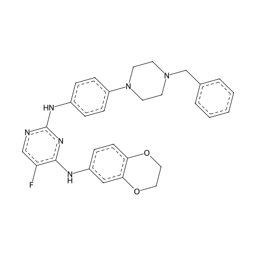 Fc1cnc(Nc2ccc(N3CCN(Cc4ccccc4)CC3)cc2)nc1Nc1ccc2c(c1)OCCO2